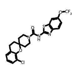 O=C(Nc1nc2ccc(OC(F)(F)F)cc2s1)N1CCC2(CCc3cccc(Cl)c3O2)CC1